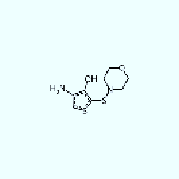 Nc1csc(SN2CCOCC2)c1O